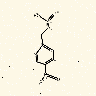 O=[N+]([O-])c1ccc(CO[PH](=O)O)cc1